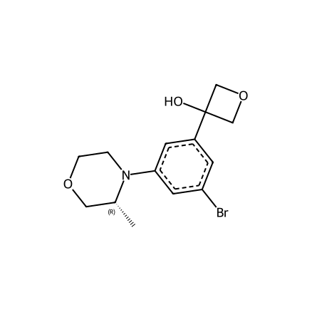 C[C@@H]1COCCN1c1cc(Br)cc(C2(O)COC2)c1